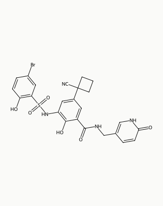 N#CC1(c2cc(NS(=O)(=O)c3cc(Br)ccc3O)c(O)c(C(=O)NCc3ccc(=O)[nH]c3)c2)CCC1